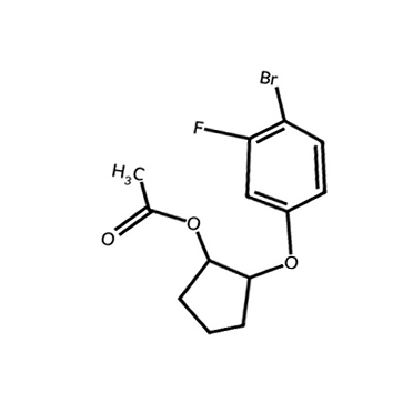 CC(=O)OC1CCCC1Oc1ccc(Br)c(F)c1